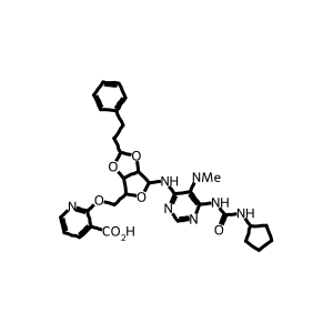 CNc1c(NC(=O)NC2CCCC2)ncnc1NC1OC(COc2ncccc2C(=O)O)C2OC(CCc3ccccc3)OC12